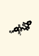 CCn1c(SCC(=O)Nc2ccc([N+](=O)[O-])cc2C)nnc1-c1ccccc1Br